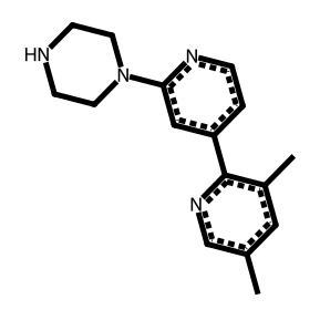 Cc1cnc(-c2ccnc(N3CCNCC3)c2)c(C)c1